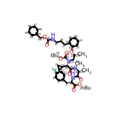 CCCCOC(=O)[C@@H](Cc1ccc(F)cc1)NC(=O)[C@@H](C)N(C)C(=O)[C@H](C1CC1)N(C[C@@H](C)Oc1ccccc1CCCNC(=O)OCc1ccccc1)C(=O)OC(C)(C)C